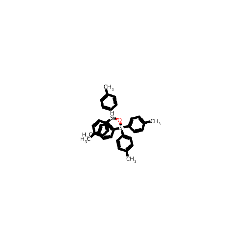 Cc1ccc([SiH](O[Si](c2ccc(C)cc2)(c2ccc(C)cc2)c2ccc(C)cc2)c2ccc(C)cc2)cc1